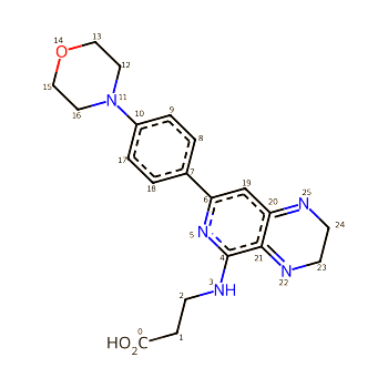 O=C(O)CCNc1nc(-c2ccc(N3CCOCC3)cc2)cc2c1=NCCN=2